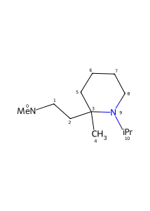 CNCCC1(C)CCCCN1C(C)C